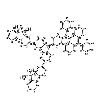 CC1(C)c2ccccc2-c2ccc(-c3ccc4c(c3)c3cc(-c5ccc6c(c5)C(C)(C)c5ccccc5-6)ccc3n4-c3ccc(N(c4ccccc4)c4c5ccccc5c(-c5ccccc5)c5ccccc45)cc3)cc21